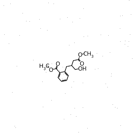 COC(=O)CC(CO)Cc1ccccc1C(=O)OC